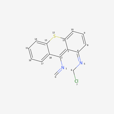 C=Nc1c2/c(=N\CCl)cccc-2sc2ccccc12